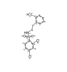 Cc1ccccc1CCNS(=O)(=O)c1ccc(Cl)cc1Cl